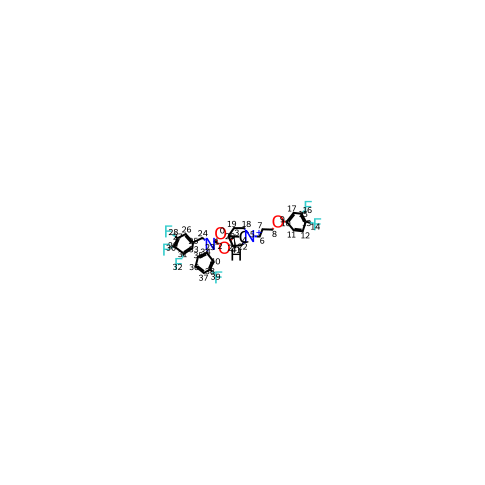 O=C(O[C@H]1C[N+]2(CCCOc3ccc(F)c(F)c3)CCC1CC2)N(Cc1cc(F)c(F)c(F)c1)c1cccc(F)c1